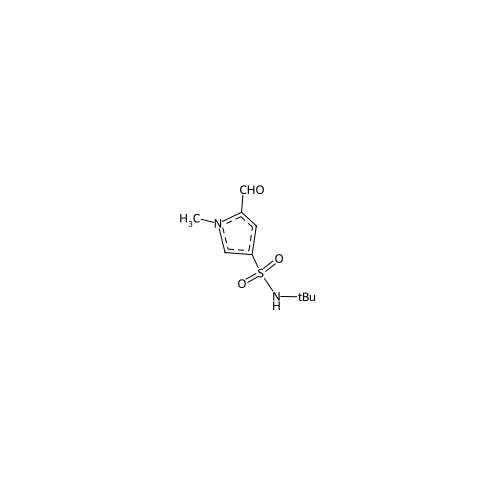 Cn1cc(S(=O)(=O)NC(C)(C)C)cc1C=O